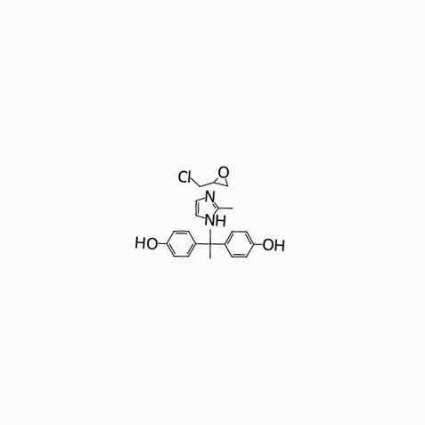 CC(C)(c1ccc(O)cc1)c1ccc(O)cc1.Cc1ncc[nH]1.ClCC1CO1